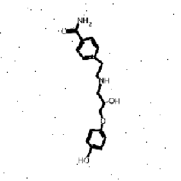 NC(=O)c1ccc(CCNC[C@H](O)COc2ccc(O)cc2)cc1